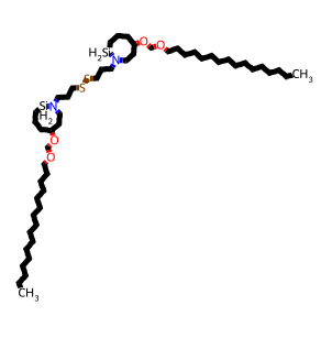 CCCCCCCCCCCCCCCCOCOC1CCC[SiH2]N(CCCSSCCCN2CCC(OCOCCCCCCCCCCCCCCCC)CCC[SiH2]2)CC1